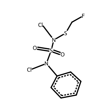 O=S(=O)(N(Cl)SCF)N(Cl)c1ccccc1